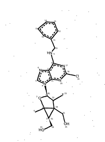 CC12O[C@@H](n3cnc4c(NCc5ccccc5)nc(Cl)nc43)C(F)C1(CO)[C@H]2CO